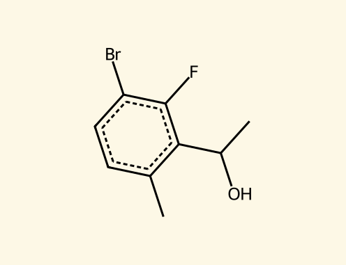 Cc1ccc(Br)c(F)c1C(C)O